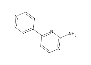 Nc1nccc(-c2ccncc2)n1